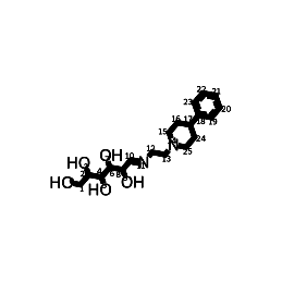 OCC(O)C(O)C(O)C(O)C=NCCN1CCC(c2ccccc2)CC1